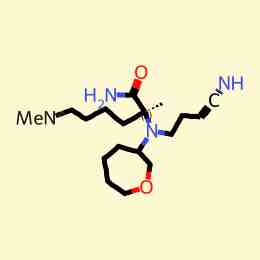 CNCCCC[C@@](C)(C(N)=O)N(CCC=C=N)C1CCCCOC1